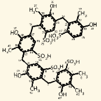 Cc1c(S(=O)(=O)O)cc(Cc2c(S(=O)(=O)O)cc(Cc3c(S(=O)(=O)O)cc(Cc4c(S(=O)(=O)O)cc(Cc5c(S(=O)(=O)O)ccc(O)c5C)c(O)c4C)c(O)c3C)c(O)c2C)c(O)c1C